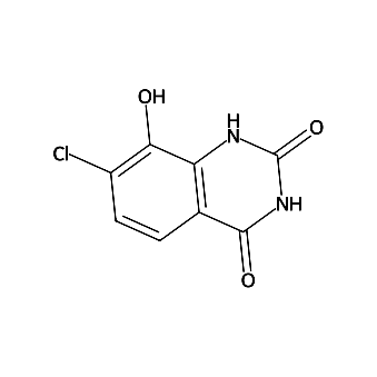 O=c1[nH]c(=O)c2ccc(Cl)c(O)c2[nH]1